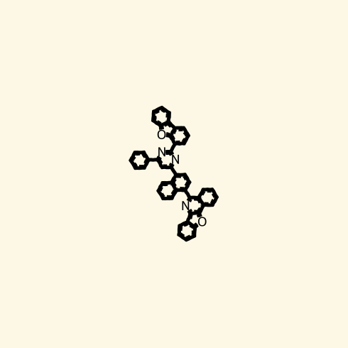 c1ccc(-c2cc(-c3ccc(-c4nc5c6ccccc6oc5c5ccccc45)c4ccccc34)nc(-c3cccc4c3oc3ccccc34)n2)cc1